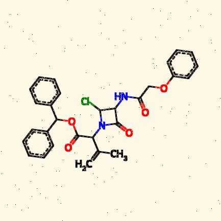 C=C(C)C(C(=O)OC(c1ccccc1)c1ccccc1)N1C(=O)C(NC(=O)COc2ccccc2)C1Cl